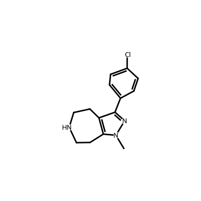 Cn1nc(-c2ccc(Cl)cc2)c2c1CCNCC2